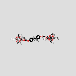 C[SiH]1O[SiH](C)O[Si](C)(COCCOc2ccc(C(C)(C)c3ccc(OCCOC[Si]4(C)O[SiH](C)O[SiH](C)O[SiH](C)O4)cc3)cc2)O[SiH](C)O1